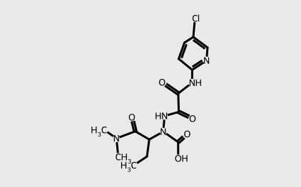 CCC(C(=O)N(C)C)N(NC(=O)C(=O)Nc1ccc(Cl)cn1)C(=O)O